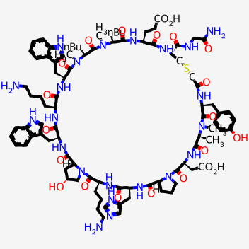 CCCC[C@H]1C(=O)N(C)[C@@H](CCCC)C(=O)N[C@@H](CCC(=O)O)C(=O)N[C@H](C(=O)NCC(N)=O)CSCC(=O)N[C@@H](Cc2ccc(O)cc2)C(=O)N(C)[C@@H](C)C(=O)N[C@@H](CC(=O)O)C(=O)N2CCC[C@H]2C(=O)N[C@@H](Cc2cnc[nH]2)C(=O)N[C@@H](CCCCN)C(=O)N2C[C@H](O)C[C@H]2C(=O)N[C@@H](Cc2c[nH]c3ccccc23)C(=O)N[C@@H](CCCCN)C(=O)N[C@@H](Cc2c[nH]c3ccccc23)C(=O)N1C